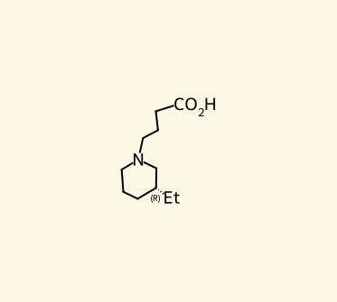 CC[C@@H]1CCCN(CCCC(=O)O)C1